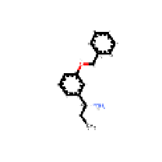 CC[C@@H](N)c1cccc(OCc2ccccc2)c1